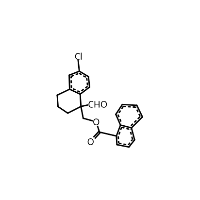 O=CC1(COC(=O)c2cccc3ccccc23)CCCc2cc(Cl)ccc21